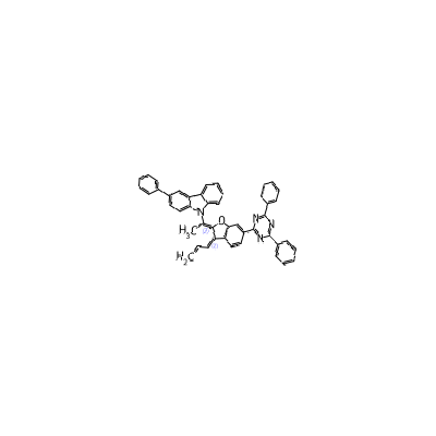 C=C/C=c1\c(=C(/C)n2c3ccccc3c3cc(-c4ccccc4)ccc32)oc2cc(-c3nc(-c4ccccc4)nc(-c4ccccc4)n3)ccc12